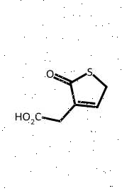 O=C(O)CC1=CCSC1=O